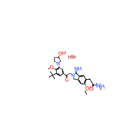 Br.CCOc1cc2c(cc1CC(=O)NC)C(=N)N(CC(=O)c1cc(N3CCC(O)C3)c(OC)c(C(C)(C)C)c1)C2